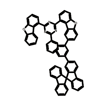 c1ccc(-c2nc(-c3cccc4oc5ccccc5c34)nc(-c3cccc4oc5ccc(-c6cccc(-c7ccc8c(c7)C7(c9ccccc9-c9ccccc97)c7ccccc7-8)c6)cc5c34)n2)cc1